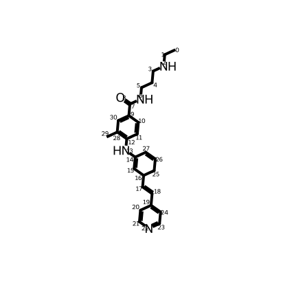 CCNCCCNC(=O)c1ccc(NC2=CC(/C=C/c3ccncc3)CC=C2)c(C)c1